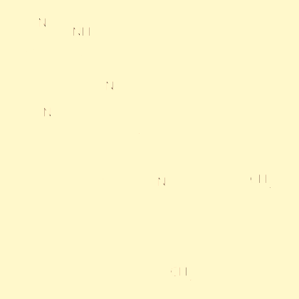 C=CCN(CC=C)c1ccc2nc3cn[nH]c3nc2c1